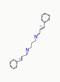 C(/C=C/c1ccccc1)=NCCCN=C/C=C/c1ccccc1